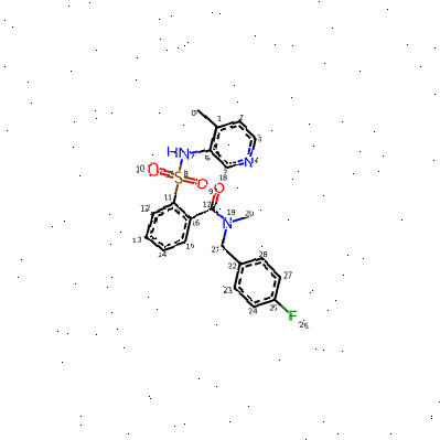 Cc1ccncc1NS(=O)(=O)c1ccccc1C(=O)N(C)Cc1ccc(F)cc1